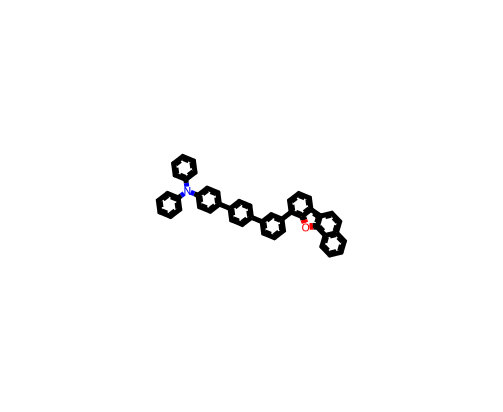 c1ccc(N(c2ccccc2)c2ccc(-c3ccc(-c4cccc(-c5cccc6c5oc5c7ccccc7ccc65)c4)cc3)cc2)cc1